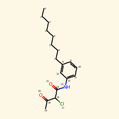 CCCCCCCCc1cccc(NC(=O)C(Cl)C(C)=O)c1